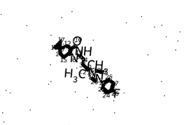 CC(C)(CCc1nc2c(c(=O)[nH]1)CC1(CC2)CC1)N1CCN(c2ccc(F)cc2)CC1